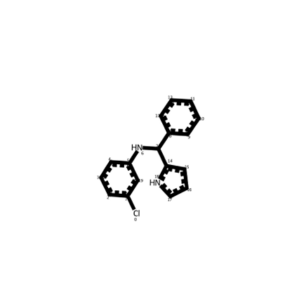 Clc1cccc(NC(c2ccccc2)c2ccc[nH]2)c1